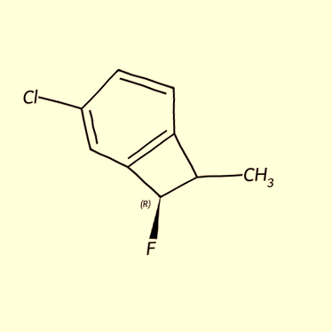 CC1c2ccc(Cl)cc2[C@@H]1F